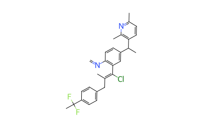 C=Nc1ccc(C(C)c2ccc(C)nc2C)cc1/C(Cl)=C(\C)Cc1ccc(C(C)(F)F)cc1